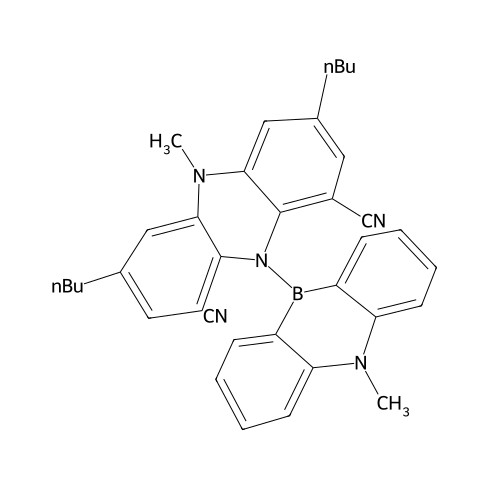 CCCCc1cc(C#N)c2c(c1)N(C)c1cc(CCCC)cc(C#N)c1N2B1c2ccccc2N(C)c2ccccc21